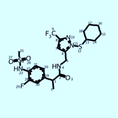 CC(C(=O)NCc1cc(C(F)(F)F)nn1SC1CCCCC1)c1ccc(NS(C)(=O)=O)c(F)c1